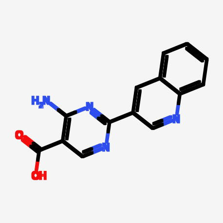 Nc1nc(-c2cnc3ccccc3c2)ncc1C(=O)O